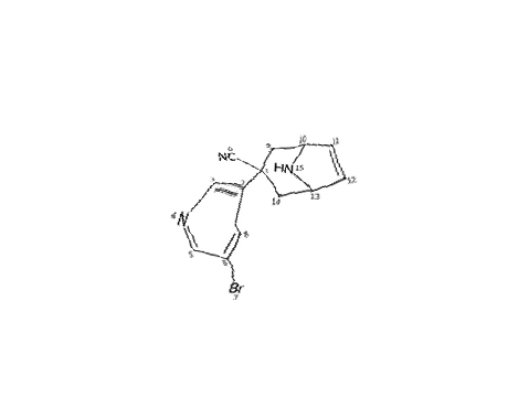 N#CC1(c2cncc(Br)c2)CC2C=CC(C1)N2